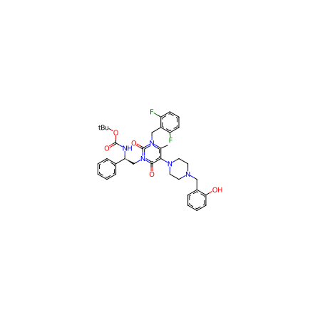 Cc1c(N2CCN(Cc3ccccc3O)CC2)c(=O)n(C[C@H](NC(=O)OC(C)(C)C)c2ccccc2)c(=O)n1Cc1c(F)cccc1F